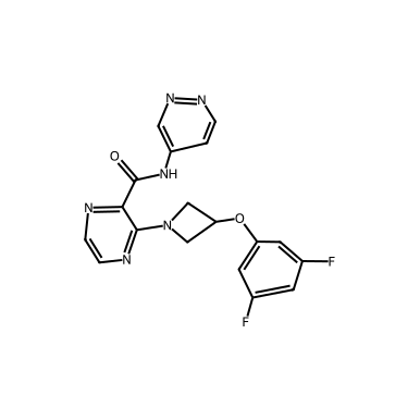 O=C(Nc1ccnnc1)c1nccnc1N1CC(Oc2cc(F)cc(F)c2)C1